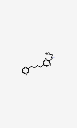 O/N=C\c1ncc(CCCCc2cccnc2)cn1